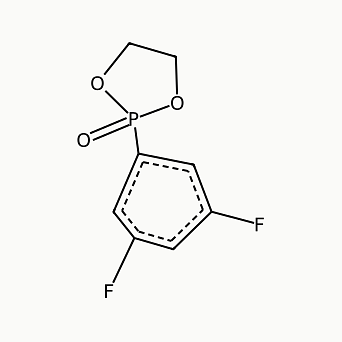 O=P1(c2cc(F)cc(F)c2)OCCO1